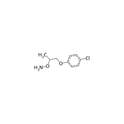 CC(COc1ccc(Cl)cc1)ON